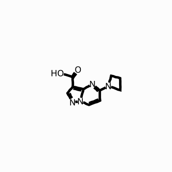 O=C(O)c1cnn2ccc(N3CCC3)nc12